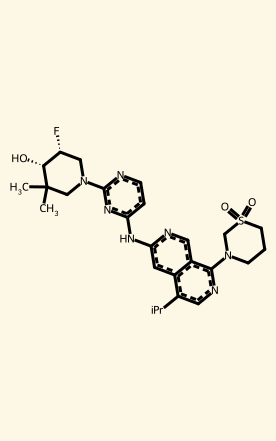 CC(C)c1cnc(N2CCCS(=O)(=O)C2)c2cnc(Nc3ccnc(N4C[C@@H](F)[C@@H](O)C(C)(C)C4)n3)cc12